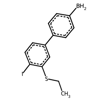 Bc1ccc(-c2ccc(I)c(SCC)c2)cc1